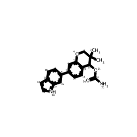 CC1(C)COc2cc(-c3ccc4cc[nH]c4c3)ccc2C1OC(N)=O